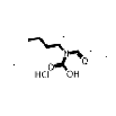 CCCCN(C=O)C(=O)O.Cl